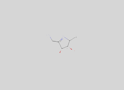 CC(C)C1N=C(CN)[C@H](O)[C@@H]1O